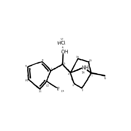 CC12CCC(C(O)c3ccccc3F)(CC1)N2.Cl